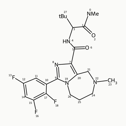 CNC(=O)C(NC(=O)c1nc(-c2cc(F)cc(F)c2F)n2c1CN(C)CCC2)C(C)(C)C